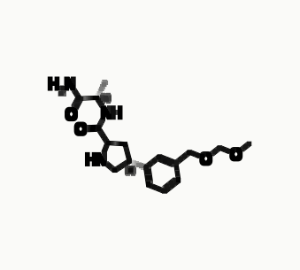 COCOCc1cccc([C@@H]2CNC(C(=O)N[C@@H](C)C(N)=O)C2)c1